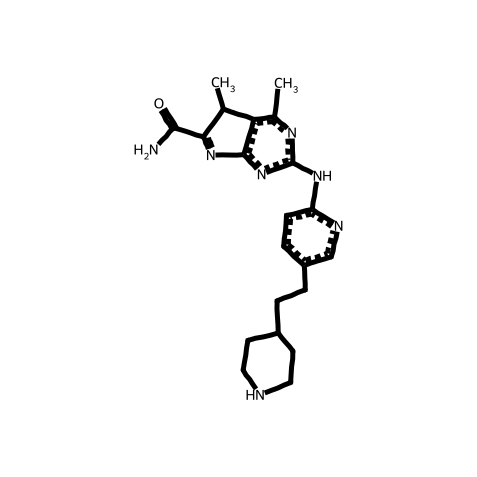 Cc1nc(Nc2ccc(CCC3CCNCC3)cn2)nc2c1C(C)C(C(N)=O)=N2